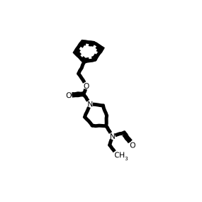 CCN(C=O)C1CCN(C(=O)OCc2ccccc2)CC1